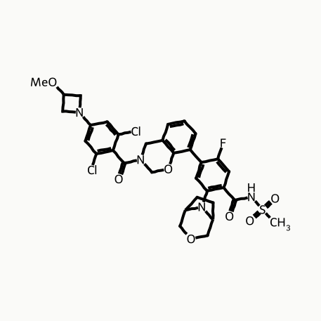 COC1CN(c2cc(Cl)c(C(=O)N3COc4c(cccc4-c4cc(N5C6CCC5COC6)c(C(=O)NS(C)(=O)=O)cc4F)C3)c(Cl)c2)C1